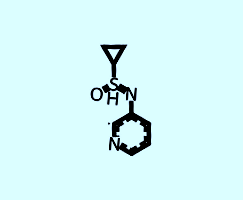 O=[SH](=N\c1[c]nccc1)/C1CC1